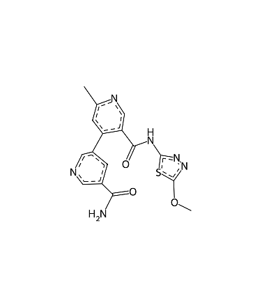 COc1nnc(NC(=O)c2cnc(C)cc2-c2cncc(C(N)=O)c2)s1